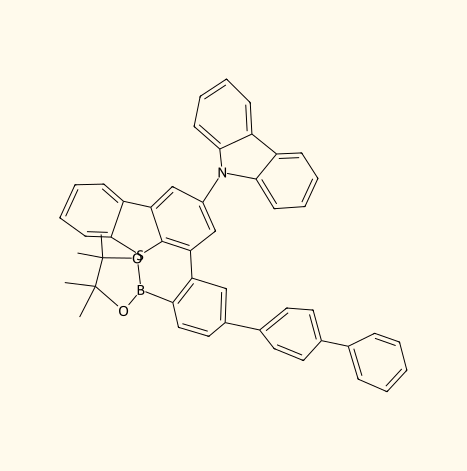 CC1(C)OB(c2ccc(-c3ccc(-c4ccccc4)cc3)cc2-c2cc(-n3c4ccccc4c4ccccc43)cc3c2sc2ccccc23)OC1(C)C